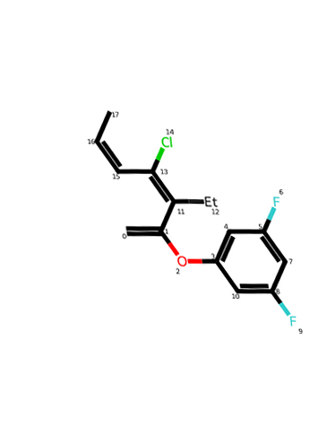 C=C(Oc1cc(F)cc(F)c1)/C(CC)=C(Cl)\C=C/C